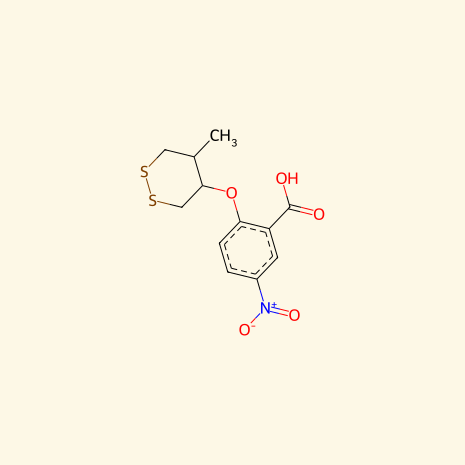 CC1CSSCC1Oc1ccc([N+](=O)[O-])cc1C(=O)O